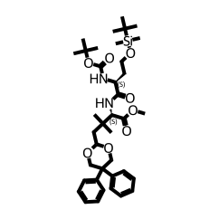 COC(=O)[C@@H](NC(=O)[C@H](CCO[Si](C)(C)C(C)(C)C)NC(=O)OC(C)(C)C)C(C)(C)CC1OCC(c2ccccc2)(c2ccccc2)CO1